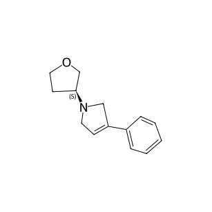 C1=C(c2ccccc2)CN([C@H]2CCOC2)C1